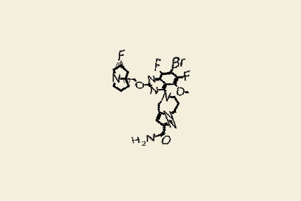 COc1c(F)c(Br)c(F)c2nc(OC[C@@]34CCCN3C[C@H](F)C4)nc(N3CCCn4nc(C(N)=O)cc4C3)c12